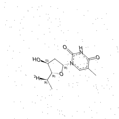 [2H][C@H](C)[C@H]1O[C@@H](n2cc(C)c(=O)[nH]c2=O)C[C@@H]1O